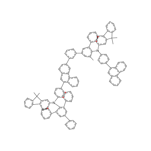 Cc1cc(-c2cccc(-c3ccc4cc(-c5ccc(N(c6ccc7c(c6)C(C)(C)c6ccccc6-7)c6c(-c7ccccc7)cc(-c7ccccc7)cc6-c6ccccc6)cc5)c5ccccc5c4c3)c2)cc(-c2ccccc2)c1N(c1ccc(-c2cc3ccccc3c3ccccc23)cc1)c1ccc2c(c1)C(C)(C)c1ccccc1-2